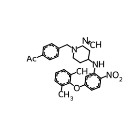 C#N.CC(=O)c1ccc(CN2CCC(Nc3cc(Oc4c(C)cccc4C)ccc3[N+](=O)[O-])CC2)cc1